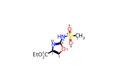 CCOC(=O)c1coc(NS(C)(=O)=O)n1